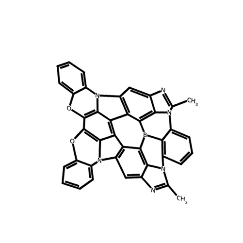 Cc1nc2cc3c4c5c2n1-c1cccc2c1B5c1c5c6c4c4c(oc7ccccc7n34)c3oc4ccccc4n(c5cc4nc(C)n-2c14)c36